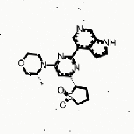 C[C@@H]1COCCN1c1cc([C@@H]2CCCS2(=O)=O)nc(-c2cncc3[nH]ccc23)n1